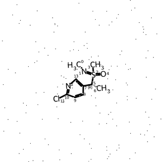 CN=S(C)(=O)[C@H](C)c1ccc(Cl)nc1